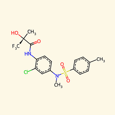 Cc1ccc(S(=O)(=O)N(C)c2ccc(NC(=O)[C@@](C)(O)C(F)(F)F)c(Cl)c2)cc1